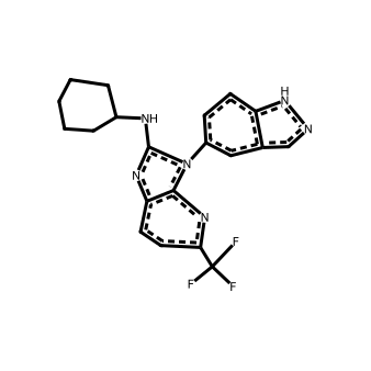 FC(F)(F)c1ccc2nc(NC3CCCCC3)n(-c3ccc4[nH]ncc4c3)c2n1